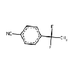 CC(F)(F)c1ccc(C#N)cc1